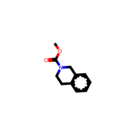 COC(=O)N1CCc2ccccc2C1